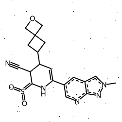 Cn1cc2cc(C3=CC(C4CC5(COC5)C4)C(C#N)C(=S(=O)=O)N3)cnc2n1